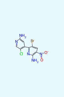 Nc1cc(-c2nc(N)c([N+](=O)[O-])cc2Br)c(Cl)cn1